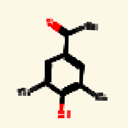 CC(C)(C)C(=O)c1cc(C(C)(C)C)c(O)c(C(C)(C)C)c1